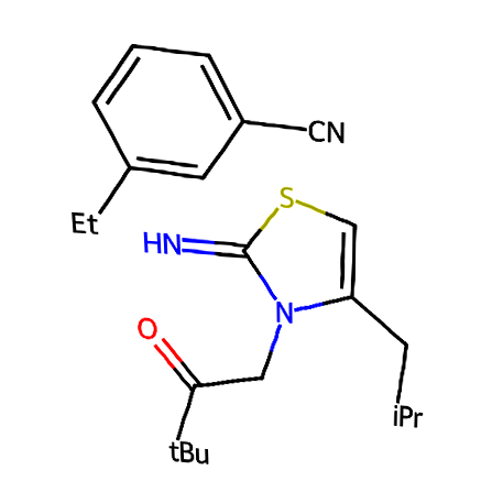 CC(C)Cc1csc(=N)n1CC(=O)C(C)(C)C.CCc1cccc(C#N)c1